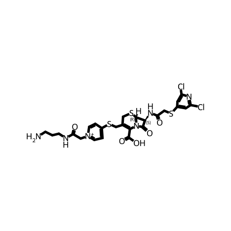 NCCCNC(=O)C[n+]1ccc(SCC2=C(C(=O)O)N3C(=O)[C@H](NC(=O)CSc4cc(Cl)nc(Cl)c4)[C@H]3SC2)cc1